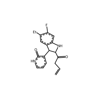 C=CCC(=O)C1Nc2cc(F)c(CC)cc2C1c1ccc[nH]c1=O